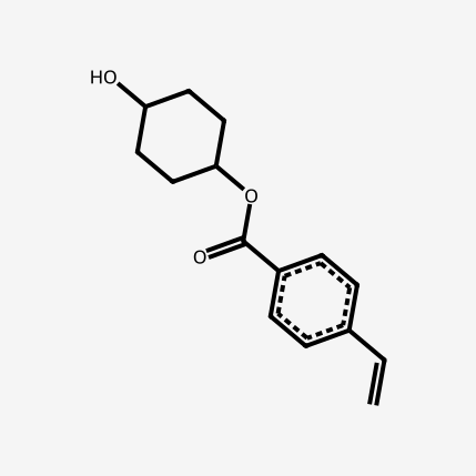 C=Cc1ccc(C(=O)OC2CCC(O)CC2)cc1